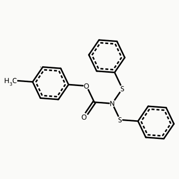 Cc1[c]cc(OC(=O)N(Sc2ccccc2)Sc2ccccc2)cc1